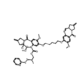 C=C1CC2C=Nc3cc(OCCCCCOc4cc5c(cc4OC)C(=O)N4CC(=C)C[C@H]4[C@H](O)N5C(=O)OCC(C)SSc4ccccn4)c(OC)cc3C(=O)N2C1